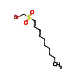 CCCCCC/C=C/C=C/S(=O)(=O)CBr